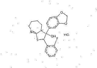 Cl.OC1(c2ccc3c(c2)OCO3)C(c2ccccc2F)SC2=NCCCCN21